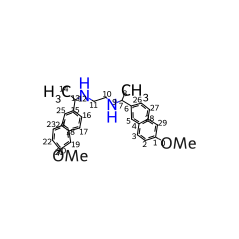 COc1ccc2cc(C(C)NCCNC(C)c3ccc4cc(OC)ccc4c3)ccc2c1